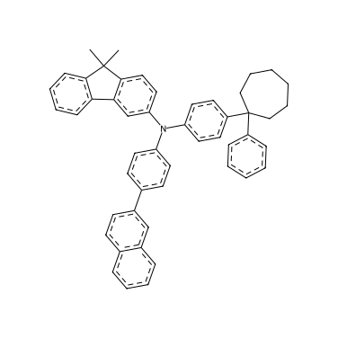 CC1(C)c2ccccc2-c2cc(N(c3ccc(-c4ccc5ccccc5c4)cc3)c3ccc(C4(c5ccccc5)CCCCCC4)cc3)ccc21